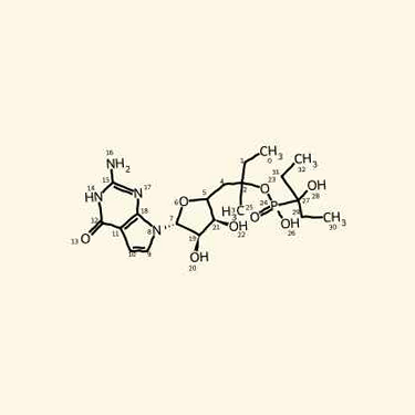 CCC(C)(CC1O[C@@H](n2ccc3c(=O)[nH]c(N)nc32)[C@H](O)[C@@H]1O)OP(=O)(O)C(O)(CC)CC